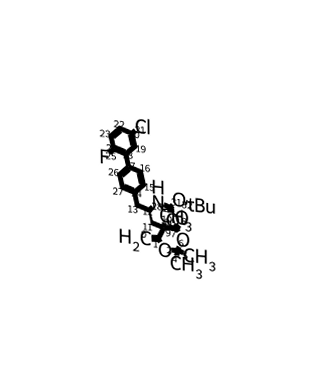 C=C1OC(C)(C)OC(=O)C1(C)C[C@@H](Cc1ccc(-c2cc(Cl)ccc2F)cc1)NC(=O)OC(C)(C)C